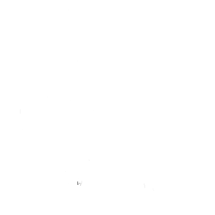 CC(C)c1ccccc1.CCc1ccccc1.Cc1ccc(C)cc1.Cc1cccc(C)c1.Cc1ccccc1.Cc1ccccc1C.c1ccccc1